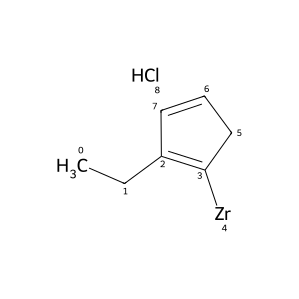 CCC1=[C]([Zr])CC=C1.Cl